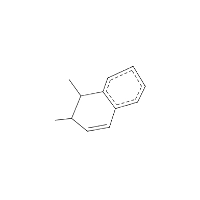 CC1C=Cc2ccccc2C1C